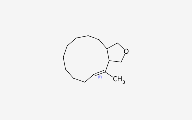 C/C1=C\CCCCCCCCC2COCC12